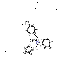 [O-]/[N+](Cc1ccc(F)cc1)=C(\Cn1ccnc1)c1ccccc1